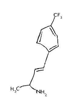 CC(N)C=Cc1ccc(C(F)(F)F)cc1